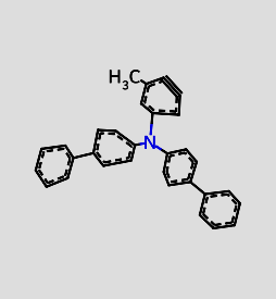 Cc1c#ccc(N(c2ccc(-c3ccccc3)cc2)c2ccc(-c3ccccc3)cc2)c1